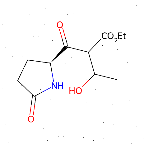 CCOC(=O)C(C(=O)[C@@H]1CCC(=O)N1)C(C)O